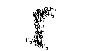 COC(=O)NC(C(=O)N1CCCC1c1ncc(-c2cc3cc4c(cc3[nH]2)NC(c2cnc(C3CCCN3C(=O)C(NC(=O)OC)C(C)C)[nH]2)C4)[nH]1)C(C)C